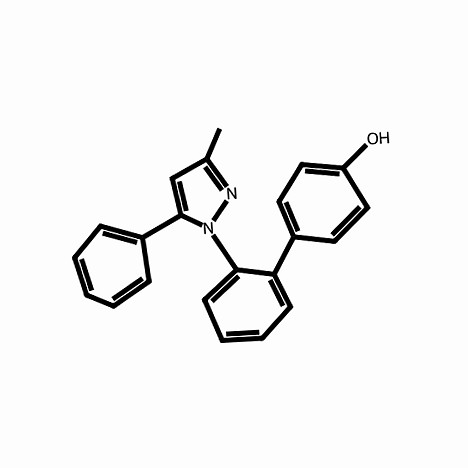 Cc1cc(-c2ccccc2)n(-c2ccccc2-c2ccc(O)cc2)n1